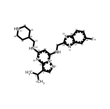 CC(C)c1cnn2c(NCc3nc4cc(F)ccc4s3)cc(NCC3CCNCC3)nc12